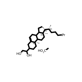 CC(=O)O.CC(C)CCC[C@@H](C)[C@H]1CCC2C3CC=C4CC(C(O)CO)CC[C@]4(C)C3CC[C@@]21C